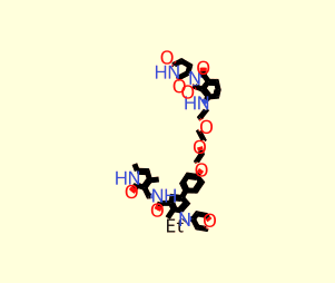 CCN(c1cc(-c2ccc(OCCOCCOCCNc3cccc4c3C(=O)N(C3CCC(=O)NC3=O)C4=O)cc2)cc(C(=O)NCc2c(C)cc(C)[nH]c2=O)c1C)C1CCOCC1